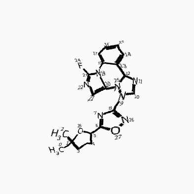 CC1(C)CCC(c2nc(N3C=NC4c5ccccc5-n5c(cnc5F)N43)no2)O1